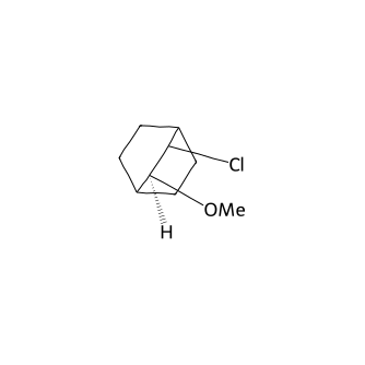 CO[C@H]1C2CCC(CC2)C1Cl